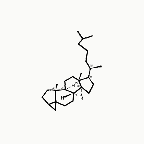 CC(C)CCC[C@@H](C)[C@H]1CC[C@H]2[C@@H]3C[CH]C45CC4CC[C@]5(C)[C@H]3CC[C@]12C